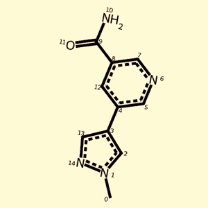 Cn1cc(-c2cncc(C(N)=O)c2)cn1